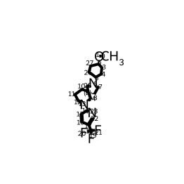 CO[C@H]1CC[C@H](N2CC[C@]3(CCCN(c4ccc(C(F)(F)F)cn4)C3)C2)CC1